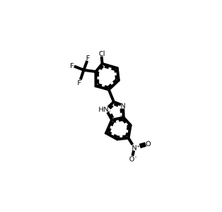 O=[N+]([O-])c1ccc2[nH]c(-c3ccc(Cl)c(C(F)(F)F)c3)nc2c1